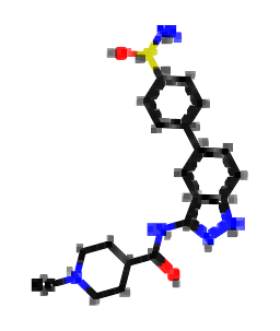 CN1CCC(C(=O)Nc2n[nH]c3ccc(-c4ccc([S+](N)[O-])cc4)cc23)CC1